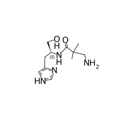 CC(C)(CN)C(=O)N[C@H](CO)Cc1c[nH]cn1